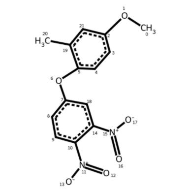 COc1ccc(Oc2ccc([N+](=O)[O-])c([N+](=O)[O-])c2)c(C)c1